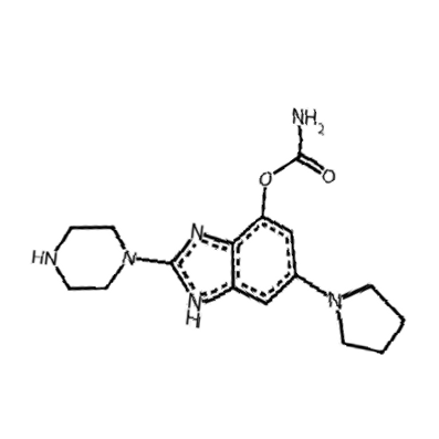 NC(=O)Oc1cc(N2CCCC2)cc2[nH]c(N3CCNCC3)nc12